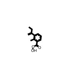 C=C(CC)c1cccc(C(=O)OO)c1C